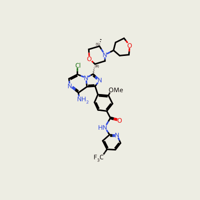 COc1cc(C(=O)Nc2cc(C(F)(F)F)ccn2)ccc1-c1nc([C@H]2CN(C3CCOCC3)[C@@H](C)CO2)n2c(Cl)cnc(N)c12